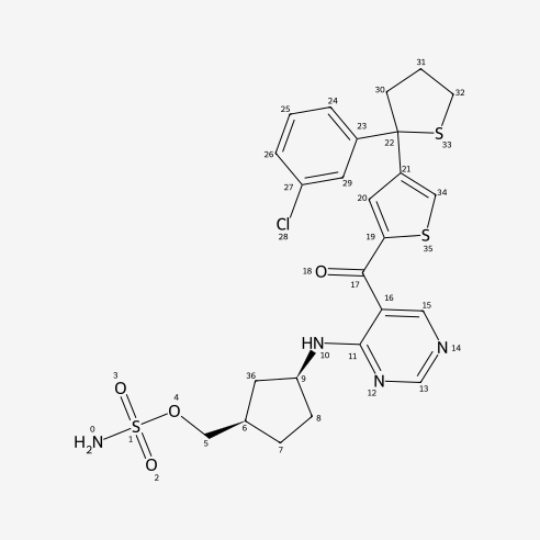 NS(=O)(=O)OC[C@@H]1CC[C@H](Nc2ncncc2C(=O)c2cc(C3(c4cccc(Cl)c4)CCCS3)cs2)C1